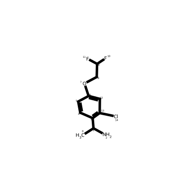 CC(N)c1ccc(OCC(F)F)cc1Cl